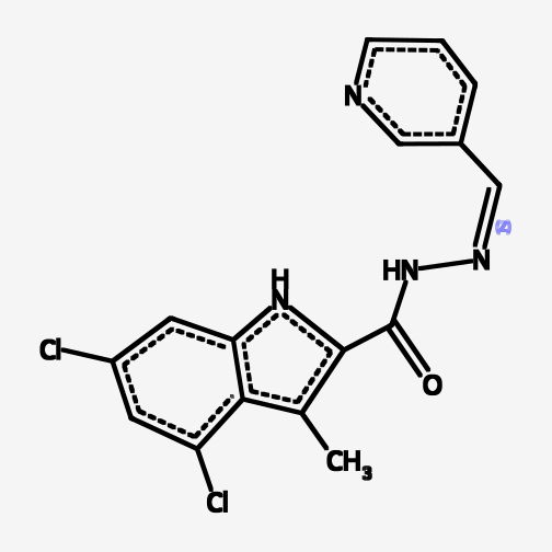 Cc1c(C(=O)N/N=C\c2cccnc2)[nH]c2cc(Cl)cc(Cl)c12